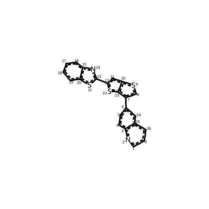 c1cnc2ccc(-c3csc4cc(-c5nc6ccccc6s5)sc34)cc2c1